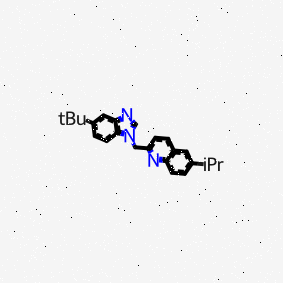 CC(C)c1ccc2nc(Cn3cnc4cc(C(C)(C)C)ccc43)ccc2c1